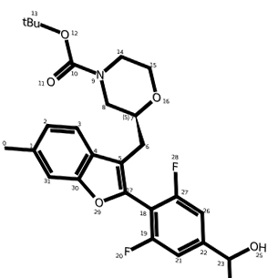 Cc1ccc2c(C[C@H]3CN(C(=O)OC(C)(C)C)CCO3)c(-c3c(F)cc(C(O)O)cc3F)oc2c1